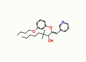 CCCCCC(C)(C)C(O)C(=Cc1cccnc1)Oc1cccc(OCCCC)c1